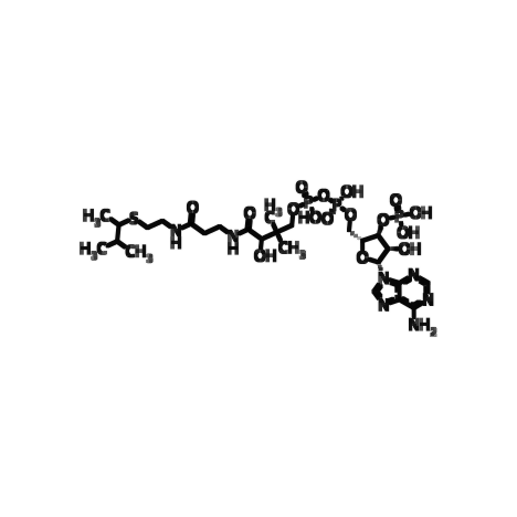 CC(C)C(C)SCCNC(=O)CCNC(=O)C(O)C(C)(C)COP(=O)(O)OP(=O)(O)OC[C@H]1O[C@@H](n2cnc3c(N)ncnc32)[C@H](O)[C@@H]1OP(=O)(O)O